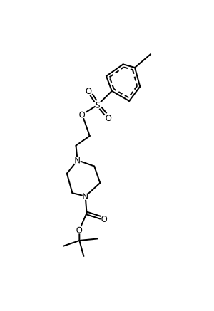 Cc1ccc(S(=O)(=O)OCCN2CCN(C(=O)OC(C)(C)C)CC2)cc1